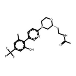 CC(=O)NCC[C@@H]1CN(c2ccc(-c3c(C)cc(C(F)(F)F)cc3O)nn2)CCO1